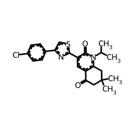 CC(C)n1c2c(cc(-c3nc(-c4ccc(Cl)cc4)cs3)c1=O)C(=O)CC(C)(C)C2